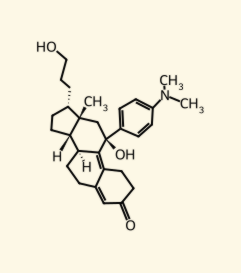 CN(C)c1ccc([C@@]2(O)C[C@@]3(C)[C@@H](CCCO)CC[C@H]3[C@@H]3CCC4=CC(=O)CCC4=C32)cc1